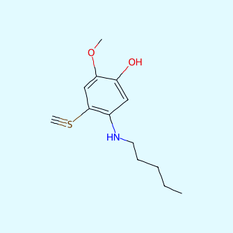 C#Sc1cc(OC)c(O)cc1NCCCCC